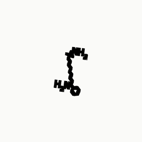 CC(C)(CN)CC=CCCC=CCC(N)c1ccccc1